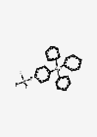 F[B-](F)(F)F.c1ccc([As+](c2ccccc2)(c2ccccc2)c2ccccc2)cc1